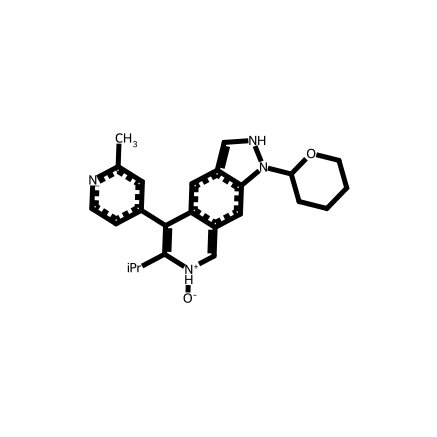 Cc1cc(C2=C(C(C)C)[NH+]([O-])C=c3cc4c(cc32)=CNN4C2CCCCO2)ccn1